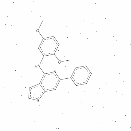 COc1ccc(OC)c(Nc2nc(-c3ccccc3)cc3sccc23)c1